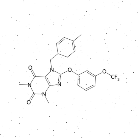 CC1=CCC(Cn2c(Oc3cccc(OC(F)(F)F)c3)nc3c2c(=O)n(C)c(=O)n3C)C=C1